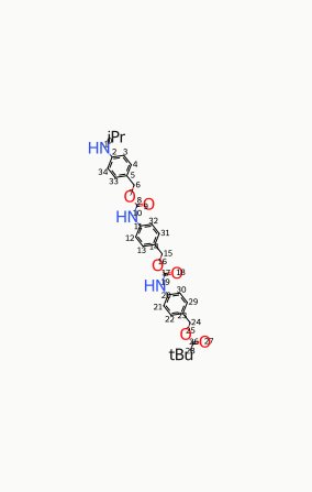 CC(C)Nc1ccc(COC(=O)Nc2ccc(COC(=O)Nc3ccc(COC(=O)C(C)(C)C)cc3)cc2)cc1